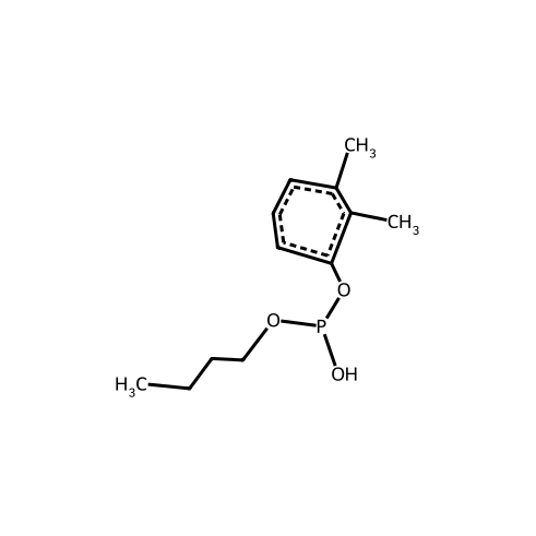 CCCCOP(O)Oc1cccc(C)c1C